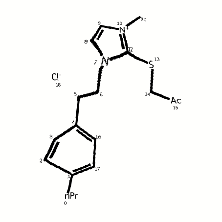 CCCc1ccc(CCn2cc[n+](C)c2SCC(C)=O)cc1.[Cl-]